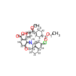 CCOC(=O)[C@@H]1CC=C([C@H](OC)[C@@H]2CC[C@H]2CN2CC3(CCCc4cc(Cl)ccc43)COc3ccc(C(=O)O)cc32)CC1